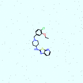 CCOc1cc(CN2CCC(Nc3nc4cccnc4s3)CC2)ccc1Cl